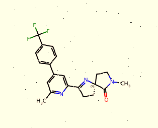 Cc1cc(-c2ccc(C(F)(F)F)cc2)cc(C2=N[C@@]3(CC2)CCN(C)C3=O)n1